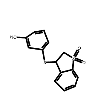 O=S1(=O)CC(Sc2cccc(O)c2)c2ccccc21